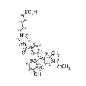 C=CCN1C[C@H](C)N([C@@H](c2cccc(O)c2)c2cccc(C(=O)N3CCN(CCCCCC(=O)O)CC3)c2)C[C@H]1C